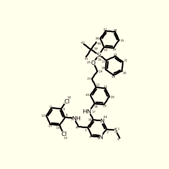 CSc1ncc(CNc2c(Cl)cccc2Cl)c(Nc2cccc(CCO[Si](c3ccccc3)(c3ccccc3)C(C)(C)C)c2)n1